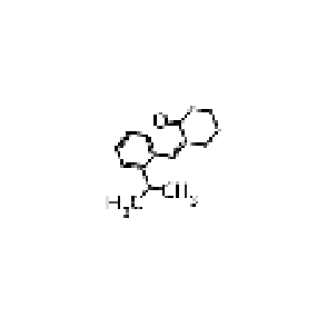 CC(C)c1ccccc1C=C1CCCCC1=O